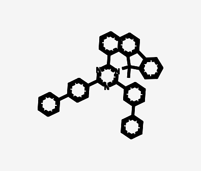 CC1(C)c2ccccc2-c2ccc3cccc(-c4nc(-c5ccc(-c6ccccc6)cc5)nc(-c5cccc(-c6ccccc6)c5)n4)c3c21